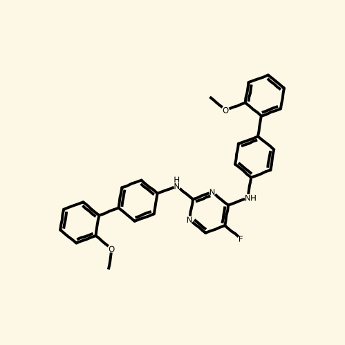 COc1ccccc1-c1ccc(Nc2ncc(F)c(Nc3ccc(-c4ccccc4OC)cc3)n2)cc1